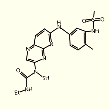 CCNC(=O)N(S)c1cnc2ccc(Nc3ccc(C)c(NS(C)(=O)=O)c3)nc2n1